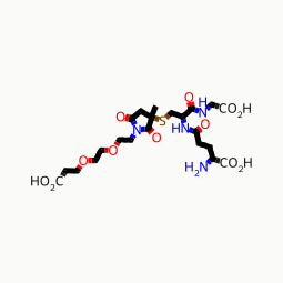 CC1(SCC(NC(=O)CCC(N)C(=O)O)C(=O)NCC(=O)O)CC(=O)N(CCOCCOCCC(=O)O)C1=O